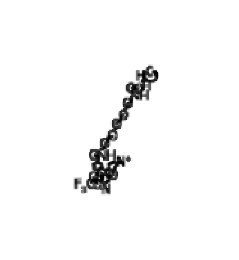 CN(C)c1ccc2c(-c3cc(C(=O)NCCOCCOCCOCCOCCOCCNC(=O)OC[C@H]4[C@@H]5CCC#CCC[C@@H]54)ccc3C(=O)OC(=O)C(F)(F)F)c3ccc(=[N+](C)C)cc-3oc2c1